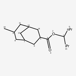 CCCC(OC(=O)C1CC2CC(C)CC(C2)C1)C(C)C